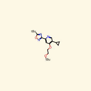 CC(C)(C)OCCOc1cc(-c2noc(C(C)(C)C)n2)ncc1C1CC1